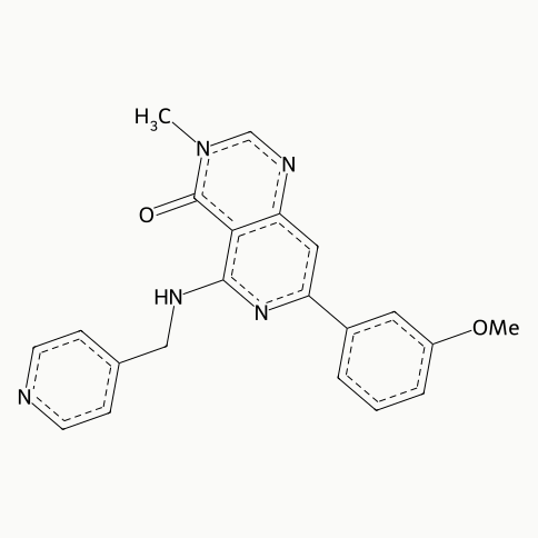 COc1cccc(-c2cc3ncn(C)c(=O)c3c(NCc3ccncc3)n2)c1